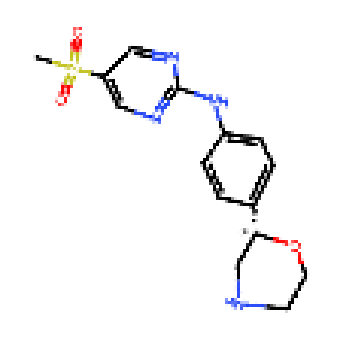 CS(=O)(=O)c1cnc(Nc2ccc([C@H]3CNCCO3)cc2)nc1